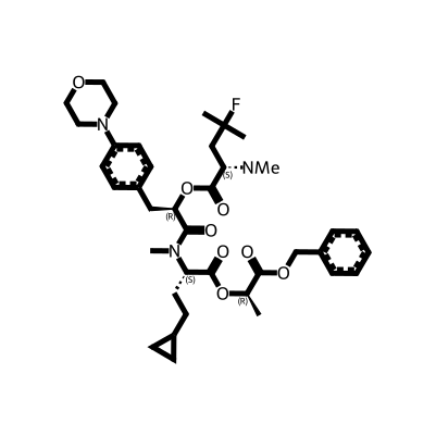 CN[C@@H](CC(C)(C)F)C(=O)O[C@H](Cc1ccc(N2CCOCC2)cc1)C(=O)N(C)[C@@H](CCC1CC1)C(=O)O[C@H](C)C(=O)OCc1ccccc1